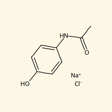 CC(=O)Nc1ccc(O)cc1.[Cl-].[Na+]